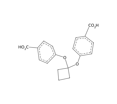 O=C(O)c1ccc(OC2(Oc3ccc(C(=O)O)cc3)CCC2)cc1